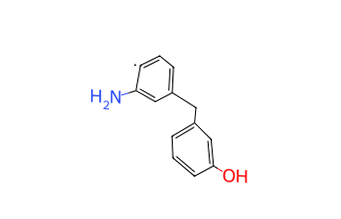 Nc1[c]ccc(Cc2cccc(O)c2)c1